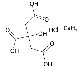 Cl.O=C(O)CC(O)(CC(=O)O)C(=O)O.[CaH2]